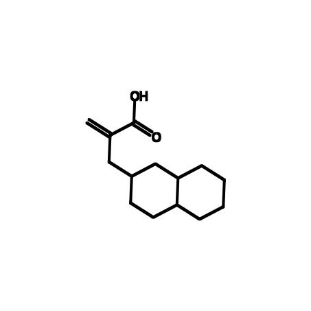 C=C(CC1CCC2CCCCC2C1)C(=O)O